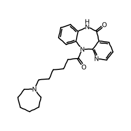 O=C1Nc2ccccc2N(C(=O)CCCCCN2CCCCCC2)c2ncccc21